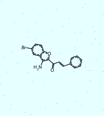 Nc1c(C(=O)C=Cc2ccccc2)oc2ccc(Br)cc12